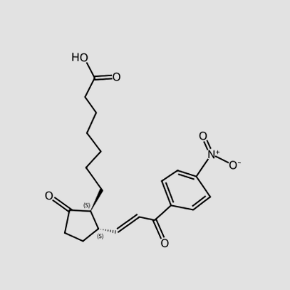 O=C(O)CCCCCC[C@@H]1C(=O)CC[C@H]1C=CC(=O)c1ccc([N+](=O)[O-])cc1